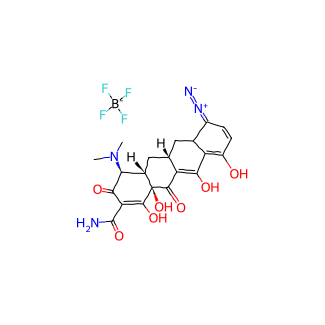 CN(C)[C@@H]1C(=O)C(C(N)=O)=C(O)[C@@]2(O)C(=O)C3=C(O)C4=C(O)C=CC(=[N+]=[N-])C4C[C@H]3C[C@@H]12.F[B-](F)(F)F